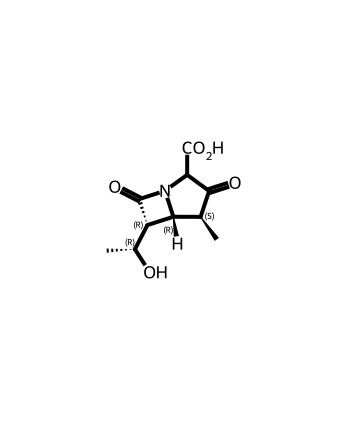 C[C@@H]1C(=O)C(C(=O)O)N2C(=O)[C@@H]([C@@H](C)O)[C@@H]12